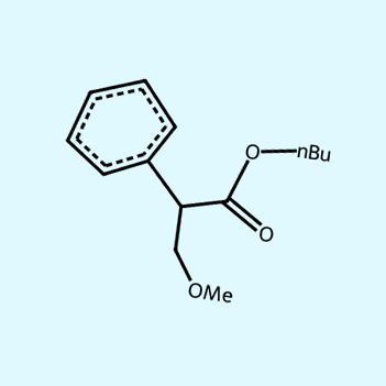 CCCCOC(=O)C(COC)c1ccccc1